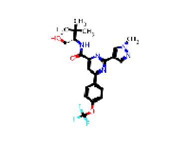 Cn1cc(-c2nc(C(=O)N[C@H](CO)C(C)(C)C)cc(-c3ccc(OC(F)(F)F)cc3)n2)cn1